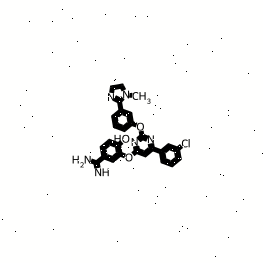 CN1CCN=C1c1cccc(Oc2nc(Oc3cc(C(=N)N)ccc3O)cc(-c3cccc(Cl)c3)n2)c1